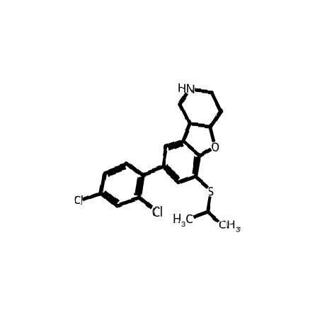 CC(C)Sc1cc(-c2ccc(Cl)cc2Cl)cc2c1OC1CCNCC21